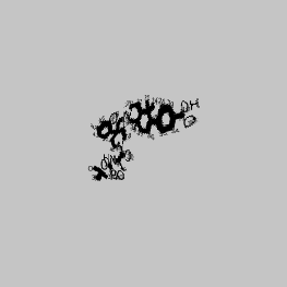 CC(C)(C)OC(=O)N[C@H](CO)C(=O)N1CCC(C(=O)N2CC=C3C(C)(C)C(c4ccc(C(=O)O)cc4)=CC[C@]3(C)C2)(c2ccccc2)CC1